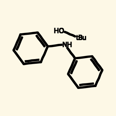 CC(C)(C)O.c1ccc(Nc2ccccc2)cc1